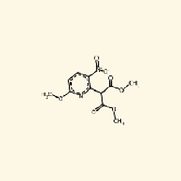 COC(=O)C(C(=O)OC)c1nc(OC)ccc1[N+](=O)[O-]